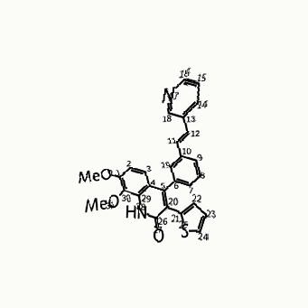 COc1ccc2c(-c3cccc(C=Cc4cccnc4)c3)c(-c3cccs3)c(=O)[nH]c2c1OC